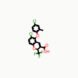 Cc1cc(Cl)ccc1Oc1c(Cl)ccc2c1C=C(C(=O)O)C(C(F)(F)F)O2